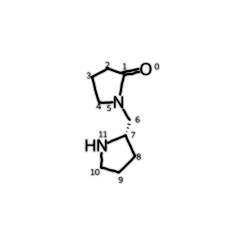 O=C1CCCN1C[C@@H]1CCCN1